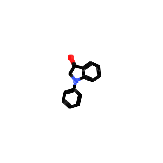 O=C1CN(c2ccccc2)c2ccccc21